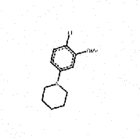 COc1cc(N2CCCCC2)ccc1Cl